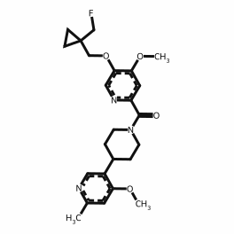 COc1cc(C(=O)N2CCC(c3cnc(C)cc3OC)CC2)ncc1OCC1(CF)CC1